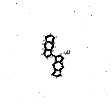 C1=Cc2cc3c(cc2=C1)C(C1=CC=c2cc4c(cc21)=CC=C4)=CC=3.[Li].[Li]